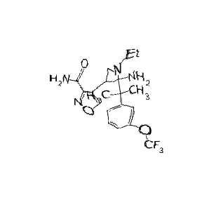 CCN1CC(c2conc2C(N)=O)C1(N)C(C)(C)c1cccc(OC(F)(F)F)c1